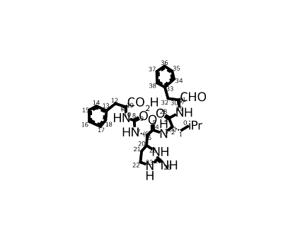 CC(C)C[C@H](NC(=O)[C@@H](NC(=O)N[C@@H](Cc1ccccc1)C(=O)O)C1CCNC(=N)N1)C(=O)N[C@H](C=O)Cc1ccccc1